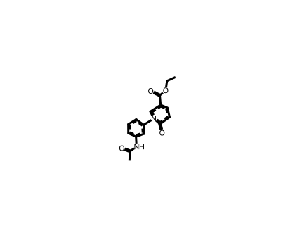 CCOC(=O)c1ccc(=O)n(-c2cccc(NC(C)=O)c2)c1